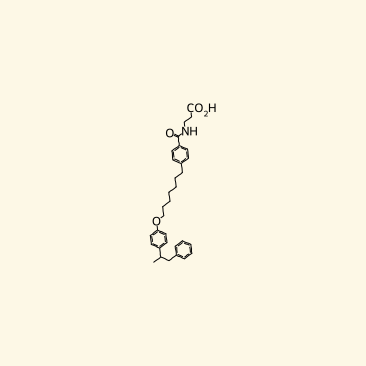 CC(Cc1ccccc1)c1ccc(OCCCCCCCc2ccc(C(=O)NCCC(=O)O)cc2)cc1